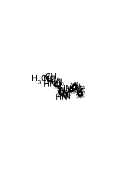 CN(C)CC(=O)Nc1cncc(-c2ccc3[nH]nc(-c4cc5c(-c6ccccc6F)nccc5[nH]4)c3n2)c1